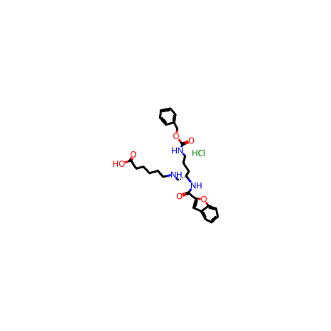 Cl.O=C(O)CCCCCNC[C@H](CCCNC(=O)OCc1ccccc1)NC(=O)c1cc2ccccc2o1